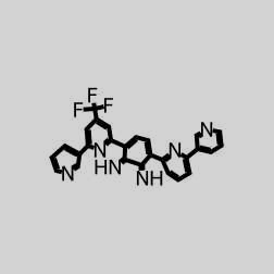 N=C1C(=N)C(c2cc(C(F)(F)F)cc(-c3cccnc3)n2)=CC=C1c1cccc(-c2cccnc2)n1